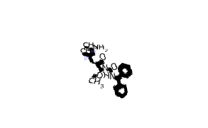 C=N/C(N)=C\C(=C/C)C[C@H]1C(=O)N(C(=O)NC(C2=CC=CCC2)c2ccccc2)[C@@H]1OCC